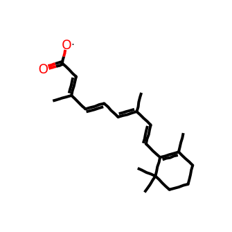 CC(C=CC1=C(C)CCCC1(C)C)=CC=CC(C)=CC([O])=O